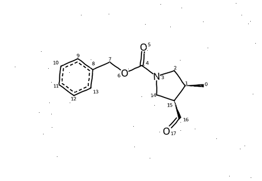 C[C@@H]1CN(C(=O)OCc2ccccc2)C[C@@H]1C=O